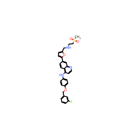 CS(=O)(=O)CCNCc1ccc(-c2ccc3c(Nc4ccc(OCc5cccc(F)c5)cc4)ccnc3c2)o1